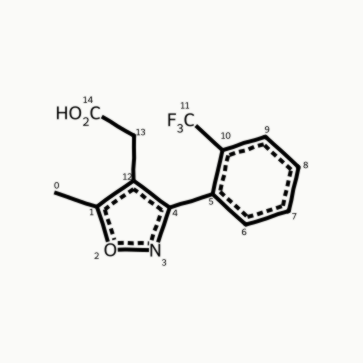 Cc1onc(-c2ccccc2C(F)(F)F)c1CC(=O)O